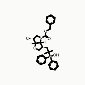 CC(C)(C[C@H]1CO[C@H]2[C@@H]1N(C(=O)OCc1ccccc1)C[C@H]2Cl)[Si](O)(c1ccccc1)c1ccccc1